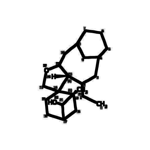 CCC1CC2CCCC(C2)CC2OCC3(CCC4C[C@]3(C)C4O)[C@@H]12